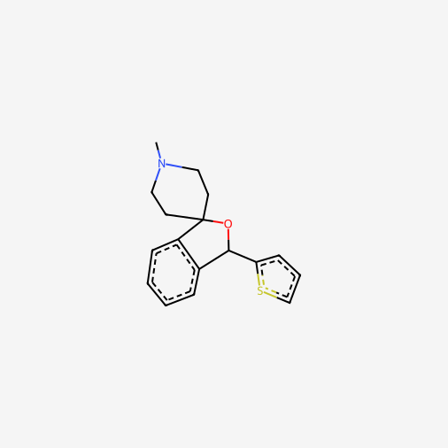 CN1CCC2(CC1)OC(c1cccs1)c1ccccc12